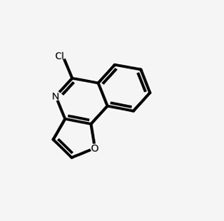 Clc1nc2ccoc2c2ccccc12